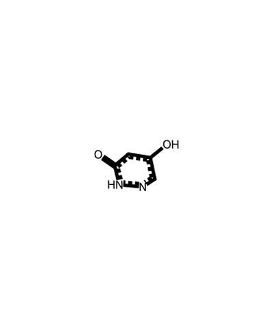 O=c1cc(O)cn[nH]1